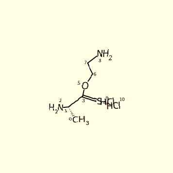 C[C@H](N)C(=S)OCCN.Cl.Cl